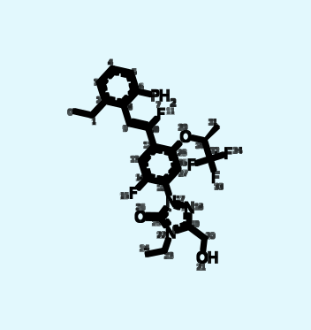 CCc1cccc(P)c1/C=C(\F)c1cc(F)c(-n2nc(CO)n(CC)c2=O)cc1O[C@@H](C)C(F)(F)F